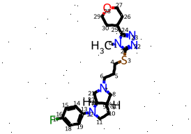 Cn1c(SCCCN2C[C@H]3CCN(c4ccc(F)cc4)[C@H]3C2)nnc1C1CCOCC1